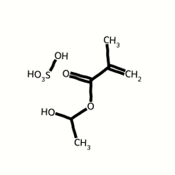 C=C(C)C(=O)OC(C)O.O=S(=O)(O)O